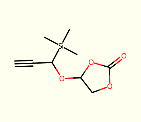 C#CC(OC1COC(=O)O1)[Si](C)(C)C